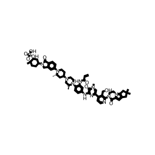 C=CC(=O)Nc1cc(Nc2nc(-c3ccnc(N4CCn5c(cc6c5CC(C)(C)C6)C4=O)c3CO)cn(C)c2=O)ccc1N1CCN(C2CCN(c3ccc4c(c3)CN(C3CCC(C)(OP(=O)(O)O)CC3)C4=O)[C@@H](C)C2)C[C@@H]1C